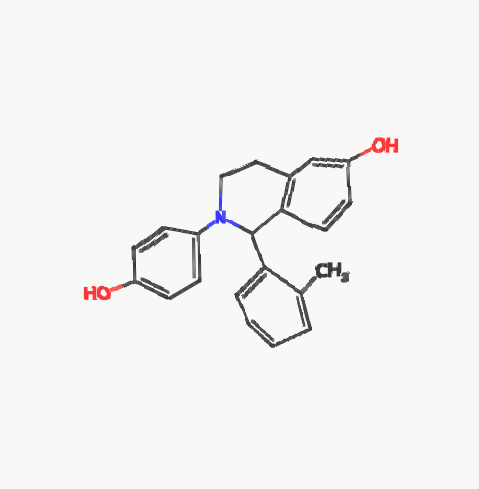 Cc1ccccc1C1c2ccc(O)cc2CCN1c1ccc(O)cc1